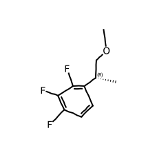 COC[C@H](C)c1ccc(F)c(F)c1F